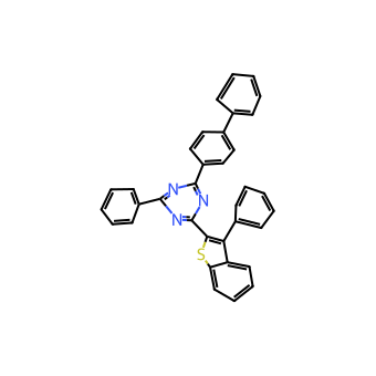 c1ccc(-c2ccc(-c3nc(-c4ccccc4)nc(-c4sc5ccccc5c4-c4ccccc4)n3)cc2)cc1